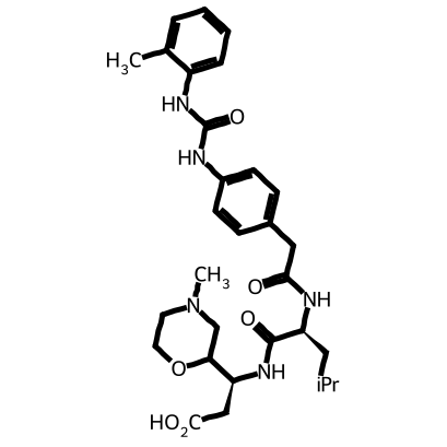 Cc1ccccc1NC(=O)Nc1ccc(CC(=O)N[C@@H](CC(C)C)C(=O)N[C@@H](CC(=O)O)C2CN(C)CCO2)cc1